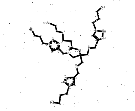 CCCCCCCCCCCCSCCC(=O)NC(COCC1=CN(CCCS)NN1)(COCc1cn(CCCS)nn1)COCc1cn(CCCS)nn1